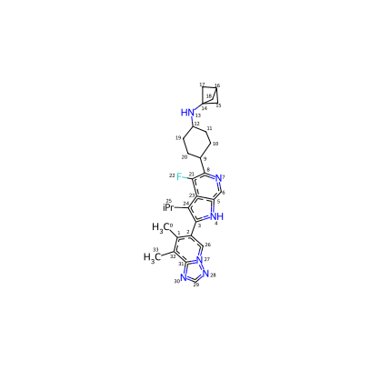 Cc1c(-c2[nH]c3cnc(C4CCC(NC56CC(C5)C6)CC4)c(F)c3c2C(C)C)cn2ncnc2c1C